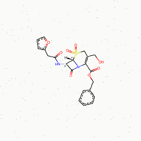 O=C(Cc1ccco1)N[C@H]1C(=O)N2C(C(=O)OCc3ccccc3)=C(CO)CS(=O)(=O)[C@@H]12